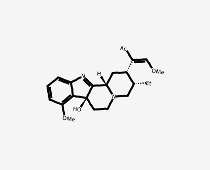 CC[C@@H]1CN2CC[C@@]3(O)C(=Nc4cccc(OC)c43)[C@@H]2C[C@@H]1/C(=C\OC)C(C)=O